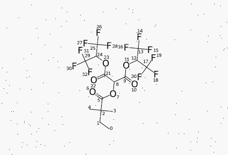 CCC(C)(C)C(=O)OC(C(=O)OC(C(F)(F)F)C(F)(F)F)C(=O)OC(C(F)(F)F)C(F)(F)F